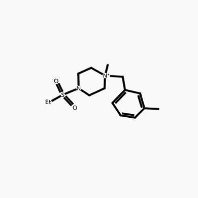 CCS(=O)(=O)N1CC[N+](C)(Cc2cccc(C)c2)CC1